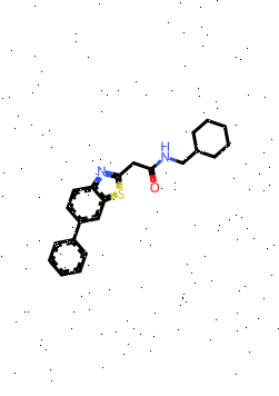 O=C(Cc1nc2ccc(-c3ccccc3)cc2s1)NCC1CCCCC1